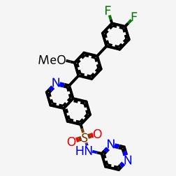 COc1cc(-c2ccc(F)c(F)c2)ccc1-c1nccc2cc(S(=O)(=O)Nc3ccncn3)ccc12